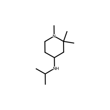 CC(C)NC1CCN(C)C(C)(C)C1